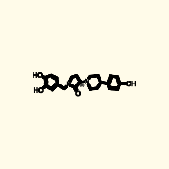 O=C1[C@H](N2CCC(c3ccc(O)cc3)CC2)CCN1Cc1ccc(O)c(O)c1